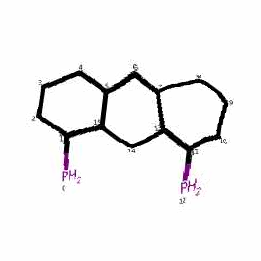 PC1CCCC2CC3CCCC(P)C3CC12